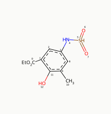 CCOC(=O)c1cc(N[SH](=O)=O)cc(C)c1O